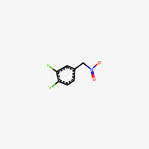 O=[N+]([O-])Cc1ccc(F)c(F)c1